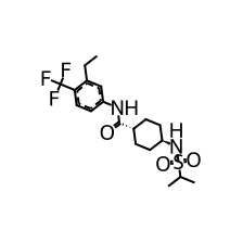 CCc1cc(NC(=O)[C@H]2CC[C@H](NS(=O)(=O)C(C)C)CC2)ccc1C(F)(F)F